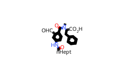 CCCCCCCC(=O)Nc1ccc(C(=O)N(C)C(Cc2ccccc2)C(=O)O)c(C=O)c1